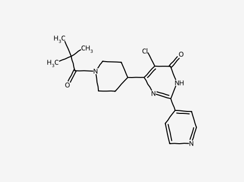 CC(C)(C)C(=O)N1CCC(c2nc(-c3ccncc3)[nH]c(=O)c2Cl)CC1